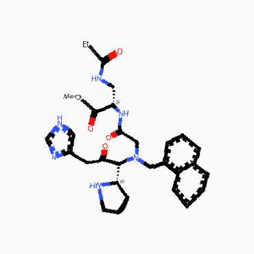 CCC(=O)NC[C@H](NC(=O)CN(Cc1cccc2ccccc12)C(C(=O)Cc1c[nH]cn1)[C@@H]1CCCN1)C(=O)OC